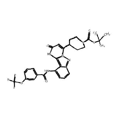 CC(C)(C)OC(=O)N1CCC(c2cc(=O)[nH]c3c4c(NC(=O)c5cccc(OC(F)(F)F)c5)cccc4nn23)CC1